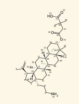 C=C(C)[C@@H]1CC[C@]2(CCCN)CC[C@]3(C)[C@H](CC[C@@H]4[C@@]5(C)CC[C@H](OC(=O)CC(C)(C)C(=O)O)C(C)(C)[C@@H]5CC[C@]43C)[C@@H]12